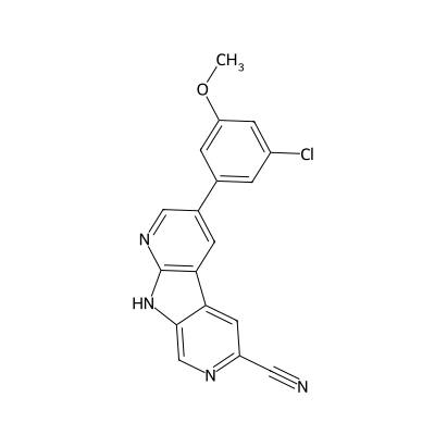 COc1cc(Cl)cc(-c2cnc3[nH]c4cnc(C#N)cc4c3c2)c1